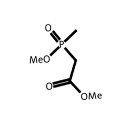 COC(=O)CP(C)(=O)OC